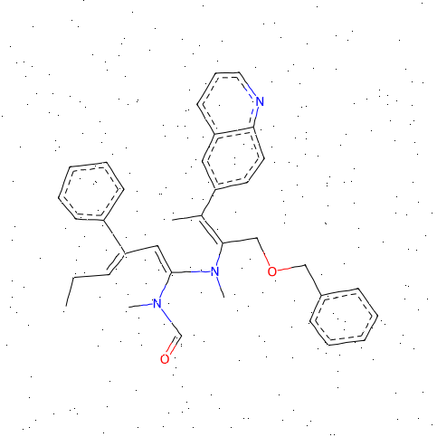 CC/C=C(/C=C(\N(C)C=O)N(C)/C(COCc1ccccc1)=C(\C)c1ccc2ncccc2c1)c1ccccc1